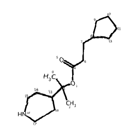 CC(C)(OC(=O)CCC1CCCC1)C1CCNCC1